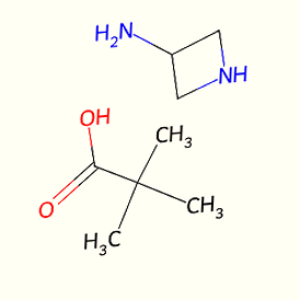 CC(C)(C)C(=O)O.NC1CNC1